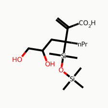 C=C(C(=O)O)C(CCC)(CC(O)CO)[Si](C)(C)O[Si](C)(C)C